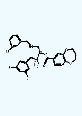 CCc1cccc(CNC[C@@H](OC(=O)c2ccc3c(c2)OCCCO3)[C@@H](N)Cc2cc(F)cc(F)c2)c1